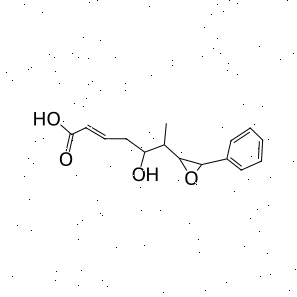 CC(C(O)C/C=C/C(=O)O)C1OC1c1ccccc1